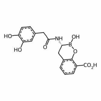 O=C(Cc1ccc(O)c(O)c1)N[C@H]1Cc2cccc(C(=O)O)c2OB1O